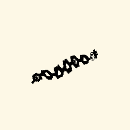 CC12CCC(c3ccc(-c4ccc(-c5ccc(C67CCC(c8ccc(B9OC(C)(C)C(C)(C)O9)cc8)(CC6)CC7)cc5)cc4)cc3)(CC1)CC2